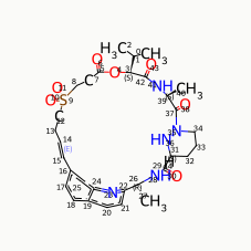 CC(C)[C@@H]1OC(=O)CCS(=O)(=O)CC/C=C/c2ccc3ccc(nc3c2)[C@@H](C)NC(=O)[C@@H]2CCCN(N2)C(=O)[C@H](C)NC1=O